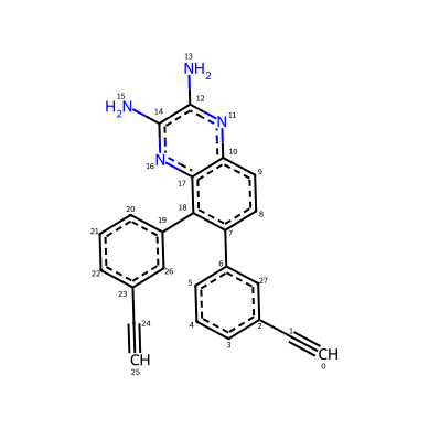 C#Cc1cccc(-c2ccc3nc(N)c(N)nc3c2-c2cccc(C#C)c2)c1